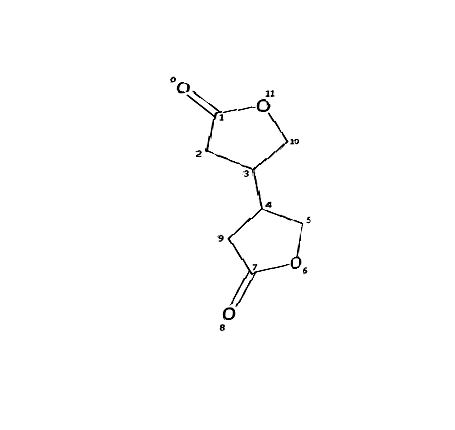 O=C1CC(C2COC(=O)C2)CO1